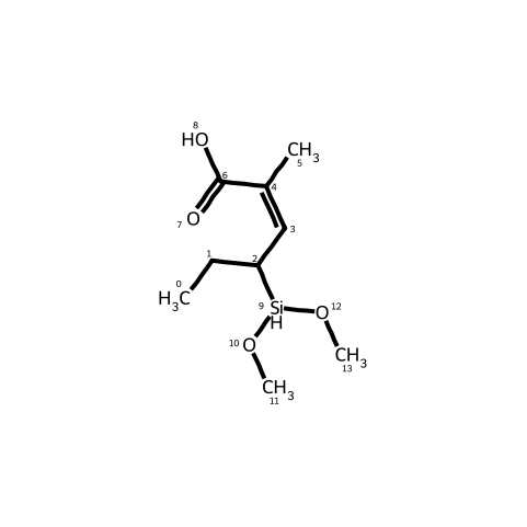 CCC(C=C(C)C(=O)O)[SiH](OC)OC